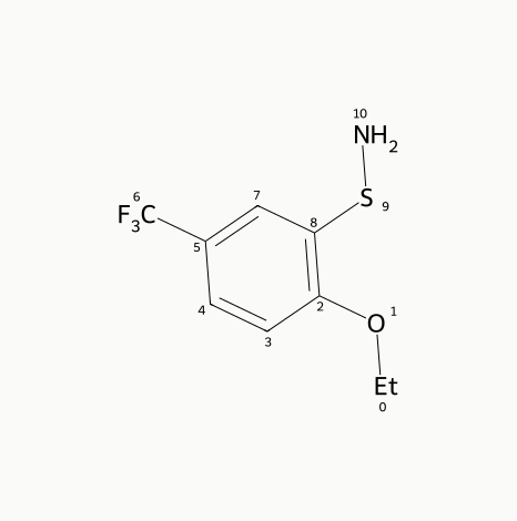 CCOc1ccc(C(F)(F)F)cc1SN